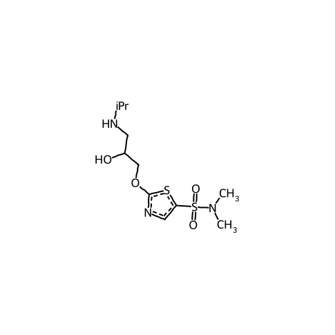 CC(C)NCC(O)COc1ncc(S(=O)(=O)N(C)C)s1